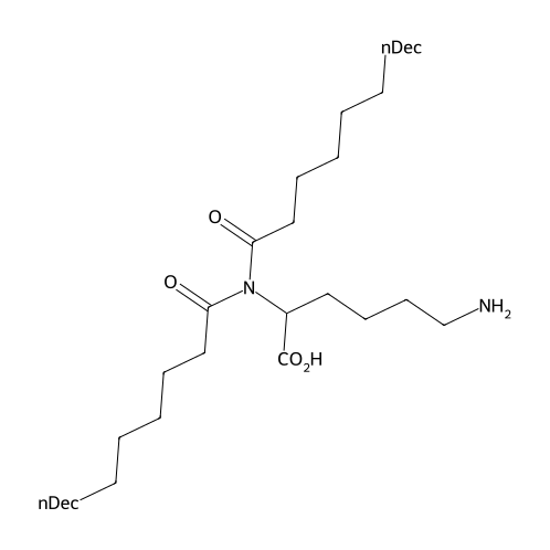 CCCCCCCCCCCCCCCC(=O)N(C(=O)CCCCCCCCCCCCCCC)C(CCCCN)C(=O)O